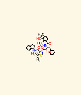 Cc1ccc(C(=O)N[C@@H](Cc2ccccc2)[C@H](O)C(=O)N2CSC(C)(C)[C@H]2C(=O)N[C@H]2CCc3ccccc32)c(C)c1O